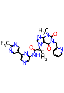 C[C@@H](C(=O)Nc1cncc(-c2cnc(C(F)(F)F)nc2)n1)n1cnc2c1c(=O)n(Cc1ccccn1)c(=O)n2C